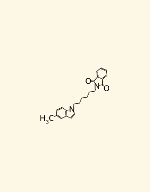 Cc1ccc2c(ccn2CCCCCCN2C(=O)c3ccccc3C2=O)c1